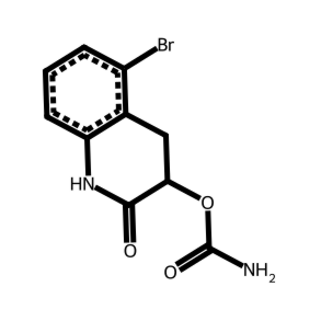 NC(=O)OC1Cc2c(Br)cccc2NC1=O